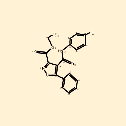 CCOC(=O)c1noc(-c2ccccc2)c1C(=O)Nc1ccc(Cl)cc1